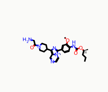 CCC[C@H](C)OC(=O)Nc1ccc(C2=NC(C3CCN(C(=O)CN)CC3)=C3C=NC=C[N+]23C)cc1OC